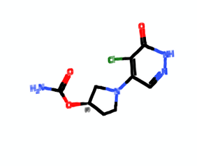 NC(=O)O[C@@H]1CCN(c2cn[nH]c(=O)c2Cl)C1